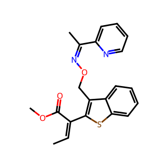 CC=C(C(=O)OC)c1sc2ccccc2c1CON=C(C)c1ccccn1